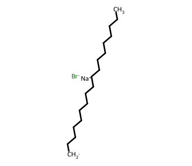 [Br-].[CH2]CCCCCCCCCCCCCCCCC.[Na+]